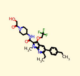 CCc1ccc(-c2cc3c(OCC(F)(F)F)c(C(=O)NC4CCN(C(=O)CO)CC4)n(C)c3nc2CC)cc1